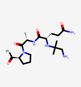 CC(C)C(=O)[C@@H]1CCCN1C(=O)[C@H](C)NC(=O)[C@H](CCC(N)=O)NC(C)(C)CN